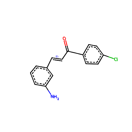 Nc1cccc(/C=C/C(=O)c2ccc(Cl)cc2)c1